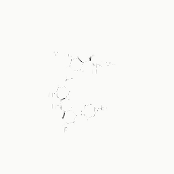 CCN1CCN([C@H]2CC(NC3=NC[C@H](CC[C@H]4CC(C(=O)NOC)=C[C@@H](OC)C4)CN3)=C[C@@H](F)C2)CC1